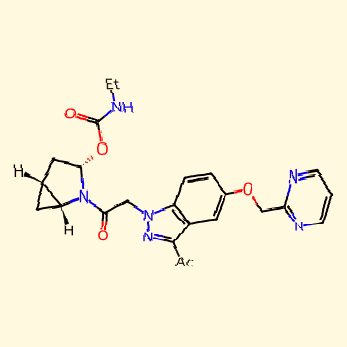 CCNC(=O)O[C@H]1C[C@H]2C[C@H]2N1C(=O)Cn1nc(C(C)=O)c2cc(OCc3ncccn3)ccc21